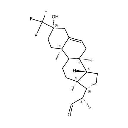 C[C@H](C=O)[C@H]1CC[C@H]2[C@@H]3CC=C4C[C@](O)(C(F)(F)F)CC[C@]4(C)C3CC[C@]12C